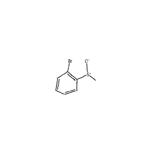 C[S+]([O-])c1ccc[c]c1Br